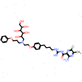 Cc1nc(N)c(C(=O)NC(=N)NCCCCc2ccc(OCCN(CCCOc3ccccc3)CC(O)C(O)C(O)C(O)CO)cc2)nc1Cl